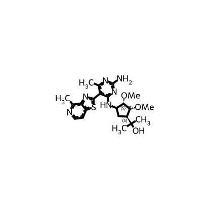 CO[C@H]1[C@@H](OC)C(Nc2nc(N)nc(C)c2-c2nc3c(C)nccc3s2)C[C@@H]1C(C)(C)O